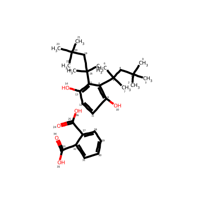 CC(C)(C)CC(C)(C)c1c(O)ccc(O)c1C(C)(C)CC(C)(C)C.O=C(O)c1ccccc1C(=O)O